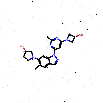 Cc1nc(N2CC(O)C2)cc(-n2ncc3cc(C)c(N4CC[C@@H](O)C4)cc32)n1